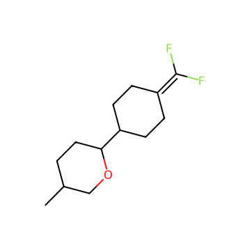 CC1CCC(C2CCC(=C(F)F)CC2)OC1